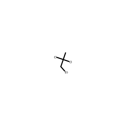 C[CH]CC(C)(Cl)Cl